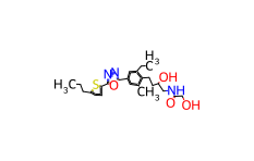 CCCc1ccc(-c2nnc(-c3cc(C)c(CC[C@@H](O)CNC(=O)CO)c(CC)c3)o2)s1